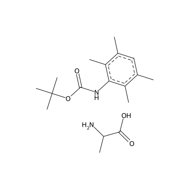 CC(N)C(=O)O.Cc1cc(C)c(C)c(NC(=O)OC(C)(C)C)c1C